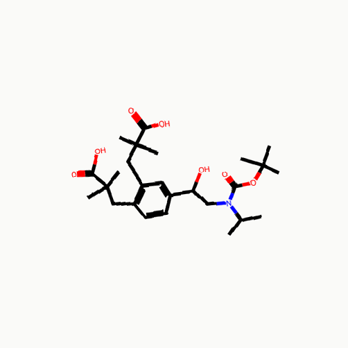 CC(C)N(CC(O)c1ccc(CC(C)(C)C(=O)O)c(CC(C)(C)C(=O)O)c1)C(=O)OC(C)(C)C